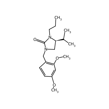 CCCN1C(=O)N(Cc2ccc(OC)cc2OC)C[C@@H]1C(C)C